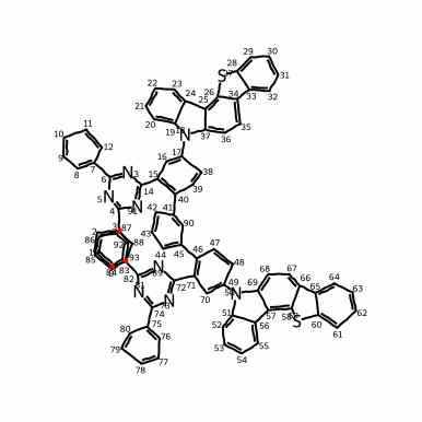 c1ccc(-c2nc(-c3ccccc3)nc(-c3cc(-n4c5ccccc5c5c6sc7ccccc7c6ccc54)ccc3-c3cccc(-c4ccc(-n5c6ccccc6c6c7sc8ccccc8c7ccc65)cc4-c4nc(-c5ccccc5)nc(-c5ccccc5)n4)c3)n2)cc1